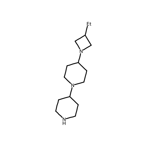 CCC1CN(C2CCN(C3CCNCC3)CC2)C1